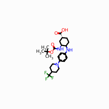 CC(C)(C)OC(=O)N[C@H]1C[C@H](C(=O)O)CCC1Nc1ccc(N2CCC(C(F)(F)F)CC2)cc1